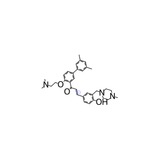 Cc1cc(C)cc(-c2ccc(OCCN(C)C)c(C(=O)/C=C/c3ccc(O)c(CN4CCN(C)CC4)c3)c2)c1